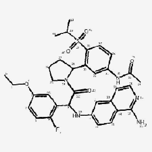 CCOc1ccc(F)c(C(Nc2ccc3c(N)nccc3c2)C(=O)N2CCCC2c2cc(NC(C)=O)ccc2S(=O)(=O)C(C)C)c1